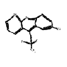 CC(F)(F)c1c2cc(Cl)ccc2nc2ncccc12